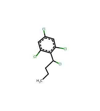 CCCC(Cl)c1c(Cl)cc(Cl)cc1Cl